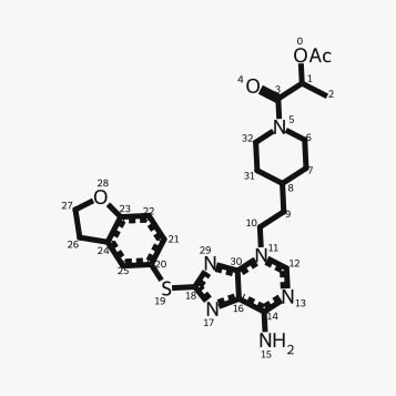 CC(=O)OC(C)C(=O)N1CCC(CCn2cnc(N)c3nc(Sc4ccc5c(c4)CCO5)nc2-3)CC1